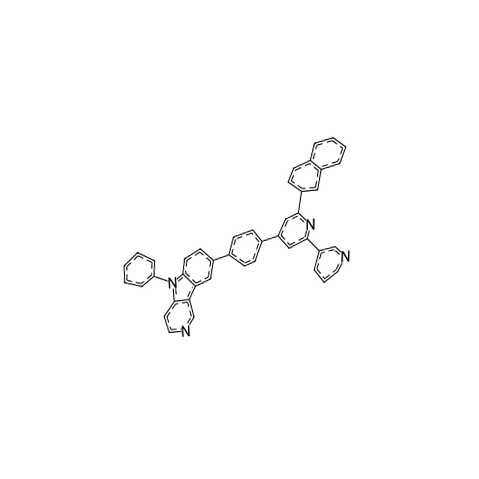 c1ccc(-n2c3ccncc3c3cc(-c4ccc(-c5cc(-c6cccnc6)nc(-c6ccc7ccccc7c6)c5)cc4)ccc32)cc1